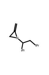 C=C1CN1C(CC(C)C)C(C)C